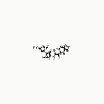 CC1c2nn(C)c(-c3cc(C(F)(F)F)nn3C)c2CCN1C(=O)c1cnc2ncsc2c1